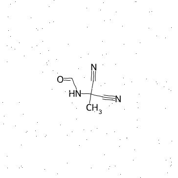 CC(C#N)(C#N)NC=O